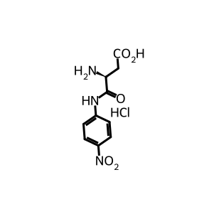 Cl.N[C@@H](CC(=O)O)C(=O)Nc1ccc([N+](=O)[O-])cc1